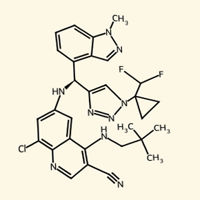 Cn1ncc2c([C@H](Nc3cc(Cl)c4ncc(C#N)c(NCC(C)(C)C)c4c3)c3cn(C4(C(F)F)CC4)nn3)cccc21